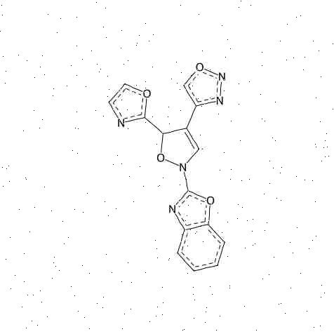 [C]1=C(c2conn2)C(c2ncco2)ON1c1nc2ccccc2o1